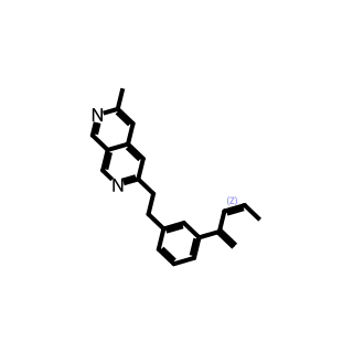 C=C(/C=C\C)c1cccc(CCc2cc3cc(C)ncc3cn2)c1